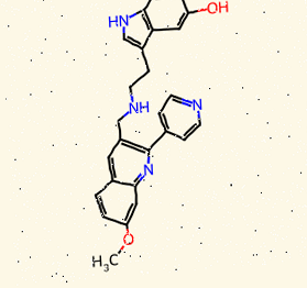 COc1ccc2cc(CNCCc3c[nH]c4ccc(O)cc34)c(-c3ccncc3)nc2c1